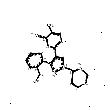 N#CC1=CC=C(c2cn(C3CCCCO3)nc2-c2ccccc2CCl)CC1=O